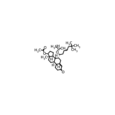 CC(=O)O[C@H]1CC[C@H]2[C@H]3[C@H](CC[C@]12C)[C@H]1CCC(=O)C=C1C[C@H]3C(CCCCC(C)(C)C)O[SiH](C)C